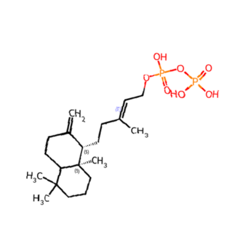 C=C1CCC2C(C)(C)CCC[C@]2(C)[C@H]1CC/C(C)=C/COP(=O)(O)OP(=O)(O)O